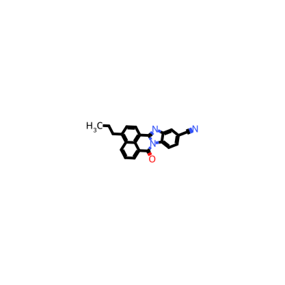 CCCc1ccc2c3c1cccc3c(=O)n1c3ccc(C#N)cc3nc21